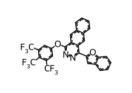 FC(F)(F)c1cc(Oc2nnc(-c3cc4ccccc4o3)c3cc4ccccc4cc23)cc(C(F)(F)F)c1C(F)(F)F